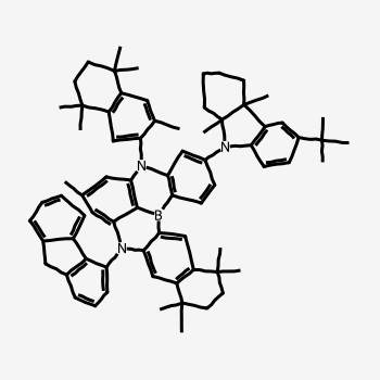 Cc1cc2c3c(c1)N(c1cccc4c1-c1ccccc1C4)c1cc4c(cc1B3c1ccc(N3c5ccc(C(C)(C)C)cc5C5(C)CCCCC35C)cc1N2c1cc2c(cc1C)C(C)(C)CCC2(C)C)C(C)(C)CCC4(C)C